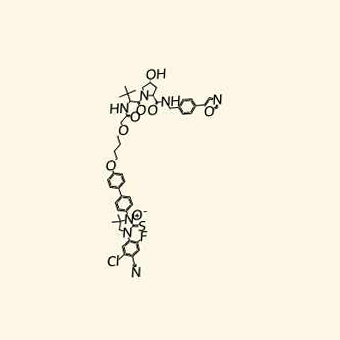 CC(C)(C)[C@H](NC(=O)COCCCCOc1ccc(-c2ccc([N+]3([O-])C(=S)N(c4cc(Cl)c(C#N)cc4F)CC3(C)C)cc2)cc1)C(=O)N1C[C@H](O)C[C@H]1C(=O)NCc1ccc(-c2cnco2)cc1